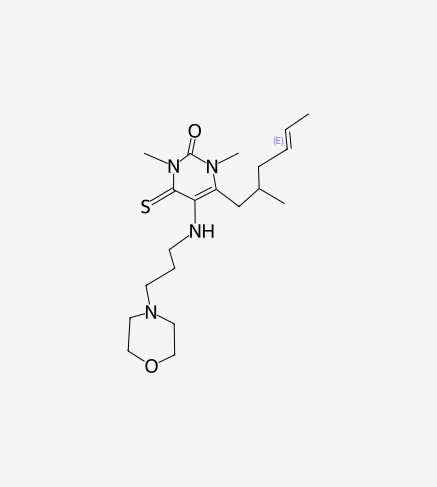 C/C=C/CC(C)Cc1c(NCCCN2CCOCC2)c(=S)n(C)c(=O)n1C